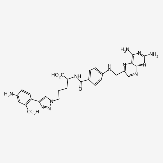 Nc1ccc(-c2cn(CCCC(NC(=O)c3ccc(NCc4cnc5nc(N)nc(N)c5n4)cc3)C(=O)O)nn2)c(C(=O)O)c1